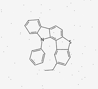 CCc1ccc2sc3ccc4c5ccccc5n(-c5ccccc5)c4c3c2c1